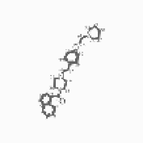 O=C(c1cccc2ccccc12)N1CCN(CCc2ccc(OCCN3CCCCC3)cc2)CC1